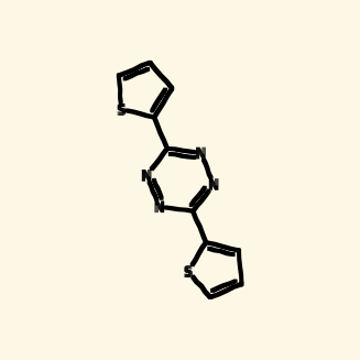 c1csc(-c2nnc(-c3cccs3)nn2)c1